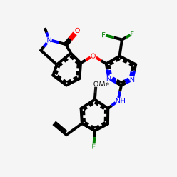 C=Cc1cc(OC)c(Nc2ncc(C(F)F)c(Oc3cccc4c3C(=O)N(C)C4)n2)cc1F